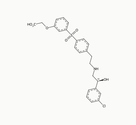 O=C(O)COc1cccc(S(=O)(=O)c2ccc(CCNC[C@@H](O)c3cccc(Cl)c3)cc2)c1